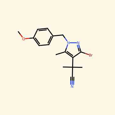 COc1ccc(Cn2nc(Br)c(C(C)(C)C#N)c2C)cc1